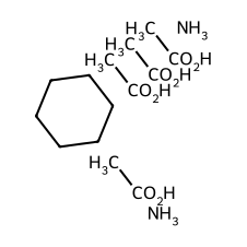 C1CCCCC1.CC(=O)O.CC(=O)O.CC(=O)O.CC(=O)O.N.N